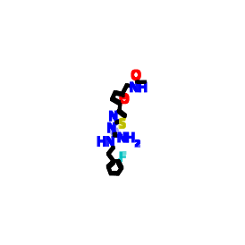 CC(=O)NCc1ccc(-c2csc(/N=C(\N)NCCc3ccccc3F)n2)o1